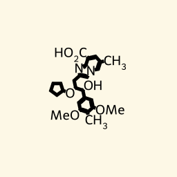 COc1cc(C(O)C(Cc2cn3cc(C)cc(C(=O)O)c3n2)OC2CCCC2)cc(OC)c1C